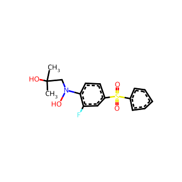 CC(C)(O)CN(O)c1ccc(S(=O)(=O)c2ccccc2)cc1F